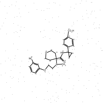 CN(CCOc1cccc(C#N)c1)C1(C(=O)NC2(c3ccc(C(=O)O)cc3)CC2)CCOCC1